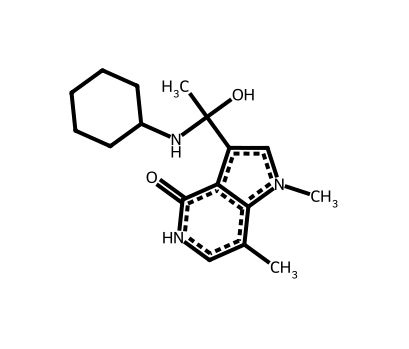 Cc1c[nH]c(=O)c2c(C(C)(O)NC3CCCCC3)cn(C)c12